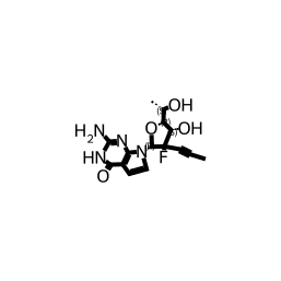 CC#CC1(F)[C@@H](O)[C@@H]([C@H](C)O)O[C@H]1n1ccc2c(=O)[nH]c(N)nc21